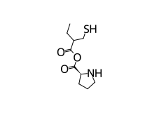 CCC(CS)C(=O)OC(=O)[C@@H]1CCCN1